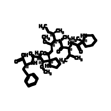 CC[C@H](C)[C@@H]([C@@H](CC(=O)[C@@]1([C@H](OC)[C@@H](C)C(=O)N[C@@H](Cc2ccccc2)C(=O)O)CCCN1)OC)N(C)C(=O)[C@@H](NC(=O)[C@@]1(C)CCCCN1)C(C)C